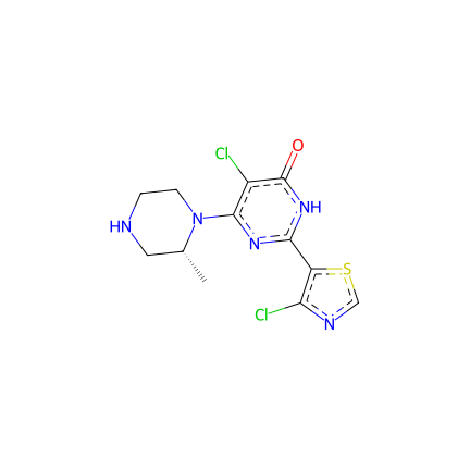 C[C@@H]1CNCCN1c1nc(-c2scnc2Cl)[nH]c(=O)c1Cl